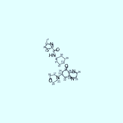 Cc1csc(C(=O)N[C@H]2CC[C@@H](Oc3cc(N4CCOCC4)cc4nccnc34)CC2)n1